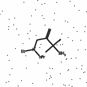 C=C(CN(CC)CCC)C(C)(C)[SiH3]